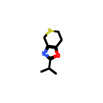 CC(C)c1nc2c(o1)CCSC2